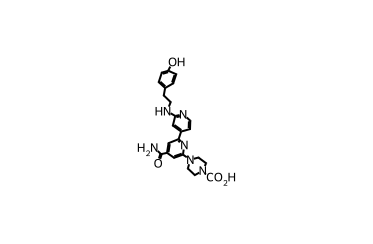 NC(=O)c1cc(-c2ccnc(NCCc3ccc(O)cc3)c2)nc(N2CCN(C(=O)O)CC2)c1